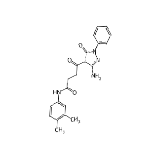 Cc1ccc(NC(=O)CCC(=O)C2C(=O)N(c3ccccc3)N=C2N)cc1C